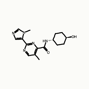 Cc1cnc(-c2cncn2C)nc1C(=O)N[C@H]1CC[C@H](O)CC1